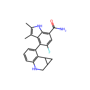 Cc1[nH]c2c(C(N)=O)cc(F)c(-c3cccc4c3C3CC3CN4)c2c1C